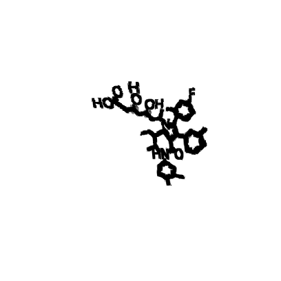 CCC(c1c(C(=O)Nc2ccc(C)c(C)c2)c(-c2cccc(C)c2)c(-c2ccc(F)cc2C)n1C(C)C[C@@H](O)C[C@@H](O)CC(=O)O)C(C)C